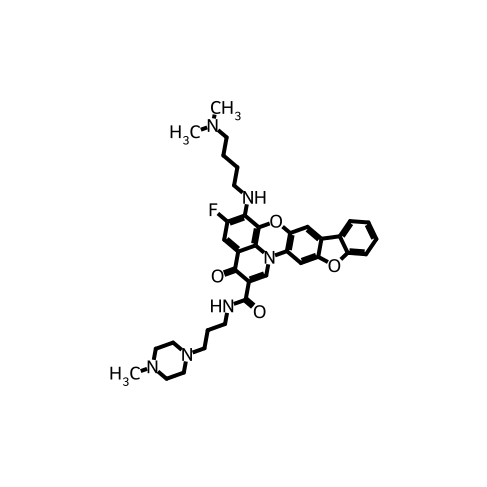 CN(C)CCCCNc1c(F)cc2c(=O)c(C(=O)NCCCN3CCN(C)CC3)cn3c2c1Oc1cc2c(cc1-3)oc1ccccc12